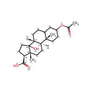 CC(=O)OC1CC[C@@]2(C)C(CC[C@@H]3[C@@H]2CC[C@]2(C)[C@@H](C(=O)O)CCC32O)C1